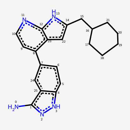 Nc1n[nH]c2ccc(-c3ccnc4[nH]c(CC5CCCCC5)cc34)cc12